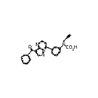 C#CCN(C(=O)O)c1cccc(-c2ccnc3c(C(=O)c4ccccc4)cnn23)c1